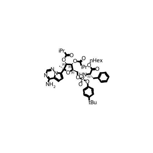 CCCCCCOC(=O)[C@H](Cc1ccccc1)NP(=O)(OC[C@H]1O[C@@](C)(c2ccc3c(N)ncnn23)[C@H](OC(=O)C(C)C)[C@@H]1OC(=O)C(C)C)Oc1ccc(C(C)(C)C)cc1